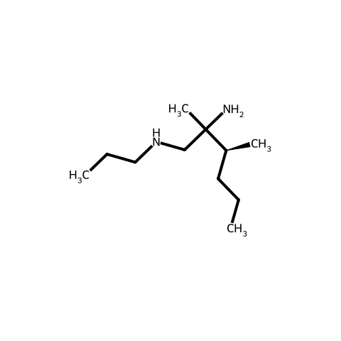 CCCNCC(C)(N)[C@@H](C)CCC